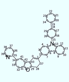 C1=C(c2ccc3c(c2)c2ccccc2n3-c2ccc(-c3ccccc3)cc2)CCc2oc3ccc(-c4ccccn4)cc3c21